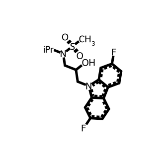 CC(C)N(CC(O)Cn1c2cc(F)ccc2c2ccc(F)cc21)S(C)(=O)=O